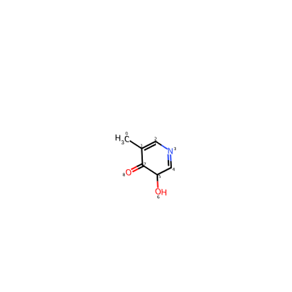 CC1=[C]N=CC(O)C1=O